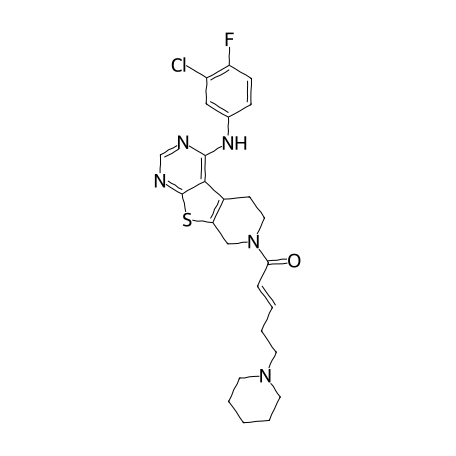 O=C(/C=C/CCN1CCCCC1)N1CCc2c(sc3ncnc(Nc4ccc(F)c(Cl)c4)c23)C1